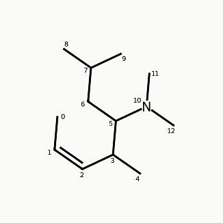 C/C=C\C(C)C(CC(C)C)N(C)C